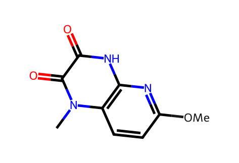 COc1ccc2c(n1)[nH]c(=O)c(=O)n2C